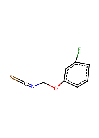 Fc1cccc(OCN=C=S)c1